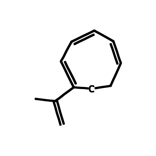 C=C(C)C1=CC=CC=CCC1